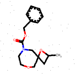 CC1CC2(COCCN(C(=O)OCc3ccccc3)C2)O1